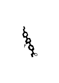 C=CC(=O)c1ccc(-c2ccc(C3CCC(CCC)CC3)cc2F)cc1